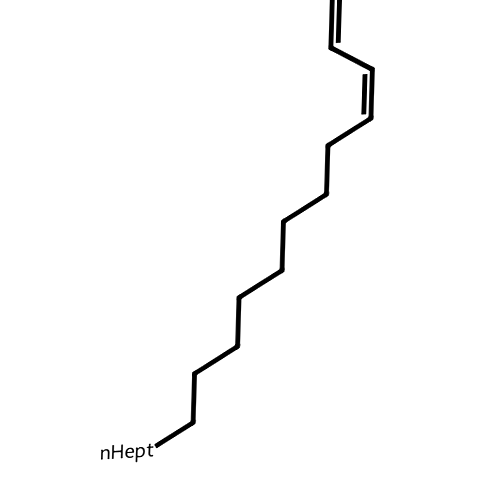 C=C/C=C\CCCCCCCCCCCCCCC